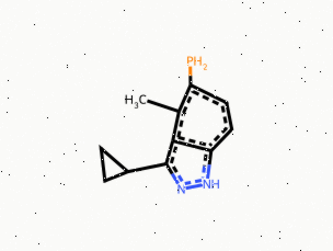 Cc1c(P)ccc2[nH]nc(C3CC3)c12